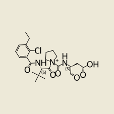 CCc1cccc(C(=O)N[C@H](C(=O)[N+]2(C(=O)N[C@H](C=O)CC(=O)O)CCCC2)C(C)(C)C)c1Cl